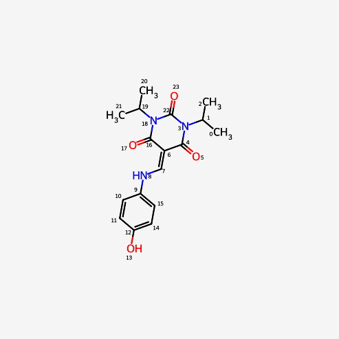 CC(C)N1C(=O)C(=CNc2ccc(O)cc2)C(=O)N(C(C)C)C1=O